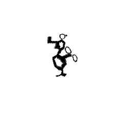 C=C(C)c1ccc2c(c1)c(=O)oc1cc(OC)c(CC)cc12